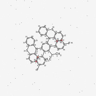 CC(C)c1c(-c2ccc(F)cc2)c(N2c3ccccc3Sc3ccccc32)cc(N2c3ccccc3Sc3ccccc32)c1-c1ccc(F)cc1